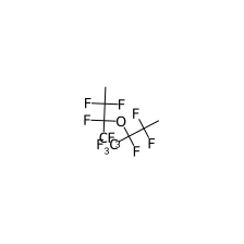 CC(F)(F)C(F)(OC(F)(C(C)(F)F)C(F)(F)F)C(F)(F)F